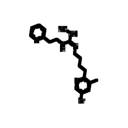 Cc1cc(Br)cnc1CCCCN=C(NC#N)NCCc1ccccn1